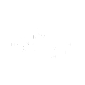 CC(=O)N1c2ccc(C(CN)CNCC(C)C)cc2N(C(=O)C2CC2)C[C@@H]1C